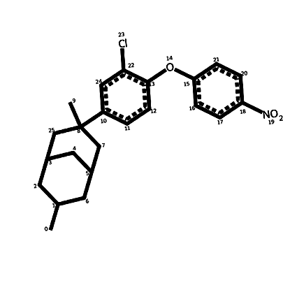 CC1CC2CC(C1)CC(C)(c1ccc(Oc3ccc([N+](=O)[O-])cc3)c(Cl)c1)C2